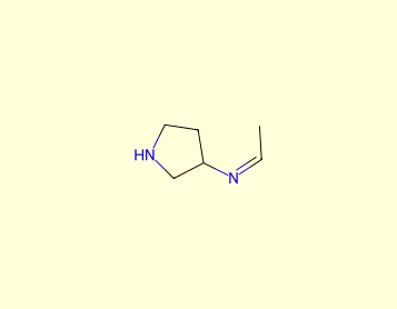 C/C=N\C1CCNC1